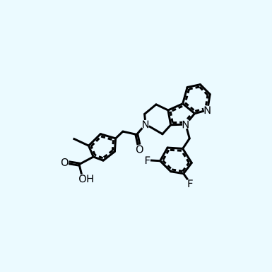 Cc1cc(CC(=O)N2CCc3c(n(Cc4cc(F)cc(F)c4)c4ncccc34)C2)ccc1C(=O)O